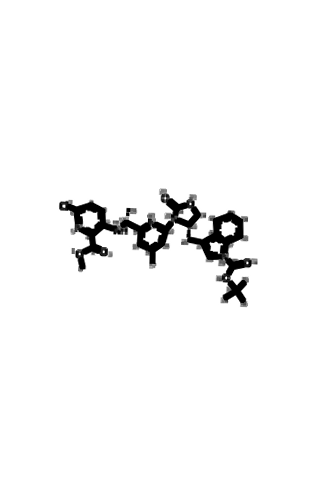 COC(=O)c1nc(Cl)ccc1N[C@H](C)c1cc(C)cc(N2C(=O)OC[C@@H]2Cc2cn(C(=O)OC(C)(C)C)c3ccccc23)n1